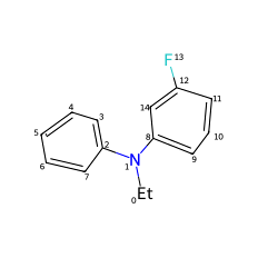 CCN(c1cc[c]cc1)c1cccc(F)c1